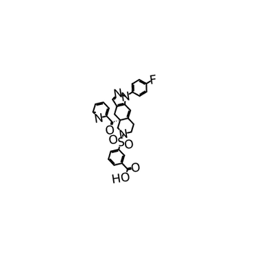 O=C(O)c1cccc(S(=O)(=O)N2CCC3=Cc4c(cnn4-c4ccc(F)cc4)C[C@]3(C(=O)c3ccccn3)C2)c1